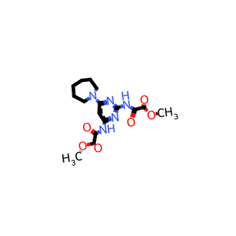 COC(=O)C(=O)Nc1cc(N2CCCCCC2)nc(NC(=O)C(=O)OC)n1